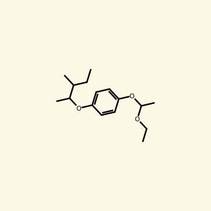 CCOC(C)Oc1ccc(OC(C)C(C)CC)cc1